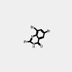 CC(C)c1nc2c(Br)cc(Br)cc2c(=O)[nH]1